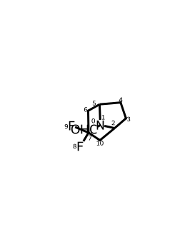 O=CN1C2CCC1CC(F)(F)C2